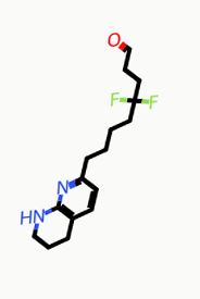 O=CCCC(F)(F)CCCCc1ccc2c(n1)NCCC2